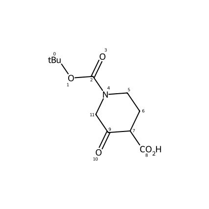 CC(C)(C)OC(=O)N1CCC(C(=O)O)C(=O)C1